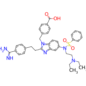 CCN(CC)CCN(c1ccc2c(c1)nc(CCc1ccc(C(=N)N)cc1)n2Cc1ccc(C(=O)O)cc1)S(=O)(=O)c1ccccc1